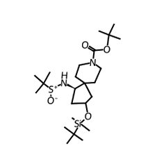 CC(C)(C)OC(=O)N1CCC2(CC1)CC(O[Si](C)(C)C(C)(C)C)C[C@H]2N[S@+]([O-])C(C)(C)C